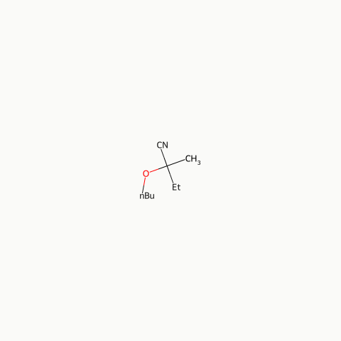 CCCCOC(C)(C#N)CC